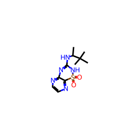 CC(NC1=Nc2nccnc2S(=O)(=O)N1)C(C)(C)C